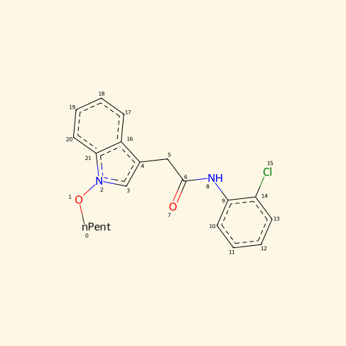 CCCCCOn1cc(CC(=O)Nc2ccccc2Cl)c2ccccc21